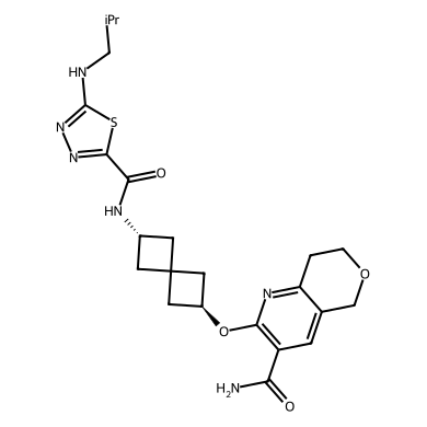 CC(C)CNc1nnc(C(=O)N[C@H]2CC3(C2)C[C@H](Oc2nc4c(cc2C(N)=O)COCC4)C3)s1